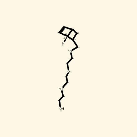 OCCOCCOCCOCC1CC2C=C[C@H]21